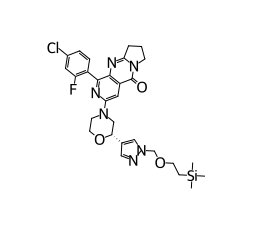 C[Si](C)(C)CCOCn1cc([C@H]2CN(c3cc4c(=O)n5c(nc4c(-c4ccc(Cl)cc4F)n3)CCC5)CCO2)cn1